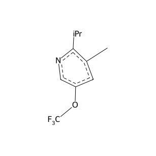 Cc1cc(OC(F)(F)F)cnc1C(C)C